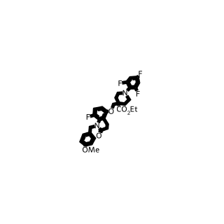 CCOC(=O)C1(COc2ccc(F)c3c2CCC(=O)N3Cc2ccc(OC)cc2)CCN(c2c(F)cc(F)cc2F)CC1